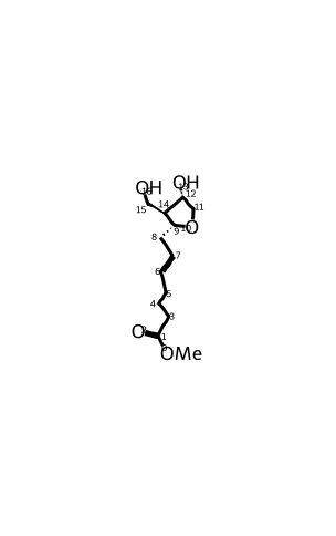 COC(=O)CCCC=CC[C@H]1OC[C@@H](O)[C@@H]1CO